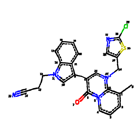 Cc1cccn2c(=O)c(-c3cn(CCC#N)c4ccccc34)c[n+](Cc3cnc(Cl)s3)c12